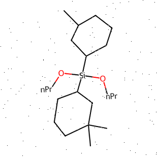 CCCO[Si](OCCC)(C1CCCC(C)C1)C1CCCC(C)(C)C1